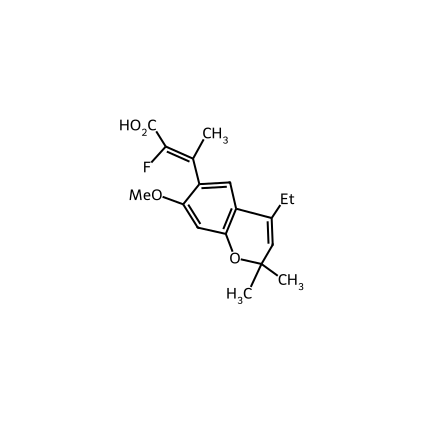 CCC1=CC(C)(C)Oc2cc(OC)c(C(C)=C(F)C(=O)O)cc21